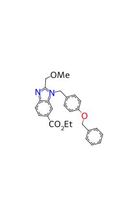 CCOC(=O)c1ccc2nc(COC)n(Cc3ccc(OCc4ccccc4)cc3)c2c1